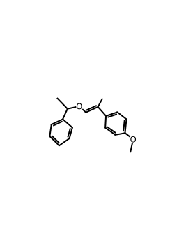 COc1ccc(C(C)=COC(C)c2ccccc2)cc1